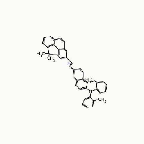 Cc1ccccc1N(c1ccc2cc(/C=C/c3cc4c5c(ccc6cccc(c65)C4(C)C)c3)ccc2c1)c1ccccc1C